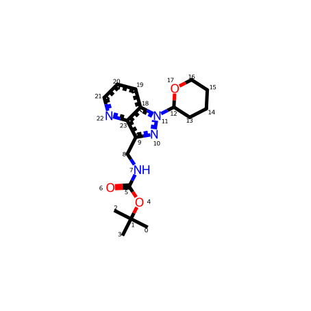 CC(C)(C)OC(=O)NCc1nn(C2CCCCO2)c2cccnc12